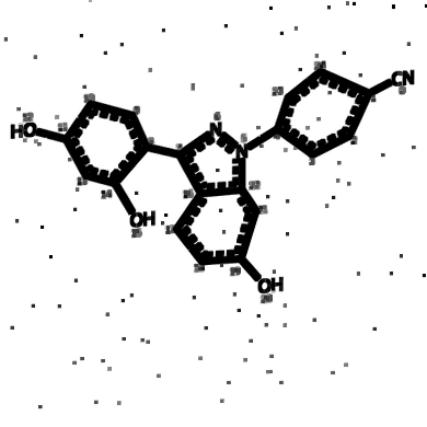 N#Cc1ccc(-n2nc(-c3ccc(O)cc3O)c3ccc(O)cc32)cc1